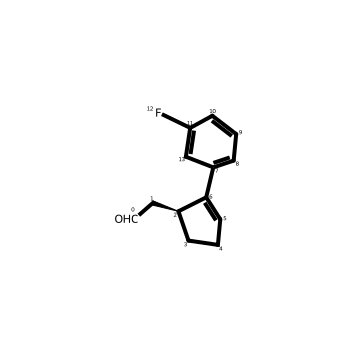 O=CC[C@@H]1CCC=C1c1cccc(F)c1